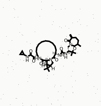 C=C1CCC(C)C(=O)N(C[C@@H](NC(=O)N[C@H]2CCCCCCCCC[C@@H](C(=O)C(=O)NC3CC3)NC(=O)[C@@H]3[C@@H]4[C@H](CN3C2=O)C4(C)C)C(C)(C)C)C1=O